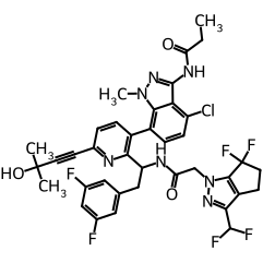 CCC(=O)Nc1nn(C)c2c(-c3ccc(C#CC(C)(C)O)nc3C(Cc3cc(F)cc(F)c3)NC(=O)Cn3nc(C(F)F)c4c3C(F)(F)CC4)ccc(Cl)c12